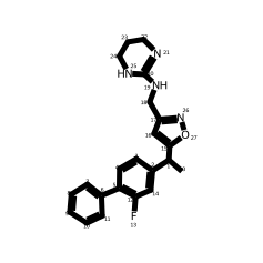 CC(c1ccc(-c2ccccc2)c(F)c1)c1cc(CNC2=NCCCN2)no1